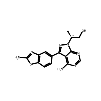 C[C@@H](CO)n1nc(-c2ccc3oc(N)nc3c2)c2c(N)ncnc21